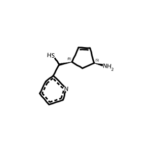 N[C@@H]1C=C[C@H](C(S)c2ccccn2)C1